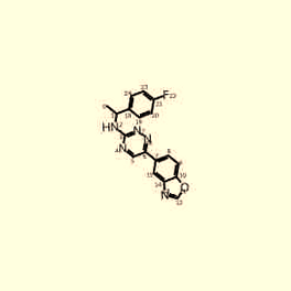 CC(Nc1ncc(-c2ccc3ocnc3c2)nn1)c1ccc(F)cc1